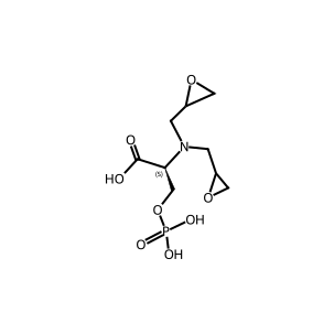 O=C(O)[C@H](COP(=O)(O)O)N(CC1CO1)CC1CO1